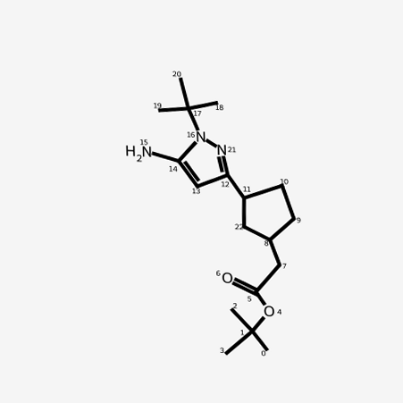 CC(C)(C)OC(=O)CC1CCC(c2cc(N)n(C(C)(C)C)n2)C1